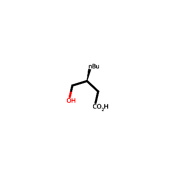 CCCC[C@H](CO)CC(=O)O